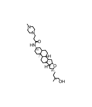 C[C@H](CO)CC[C@@H]1C[C@H]2C(CC3[C@@H]4CCC5C[C@@H](NC(=O)CCN6CCN(C)CC6)CC[C@]5(C)C4CC[C@@]32C)O1